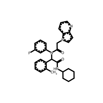 Cc1ccccc1C(C(=O)NC1CCCCC1)N(C(=O)Cn1ccc2ncccc21)c1cccc(F)c1